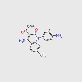 COC(=O)c1c(N)c2ccc(C(F)(F)F)cc2n(-c2ccc(N)c(C)c2)c1=O